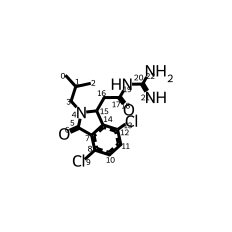 CC(C)CN1C(=O)c2c(Cl)ccc(Cl)c2C1CC(=O)NC(=N)N